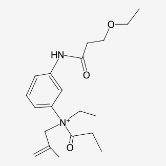 C=C(C)C[N+](CC)(C(=O)CC)c1cccc(NC(=O)CCOCC)c1